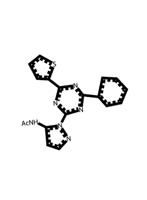 CC(=O)Nc1ccnn1-c1nc(-c2ccccc2)nc(-c2cccs2)n1